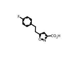 O=C(O)c1cc(CCc2ccc(F)cc2)on1